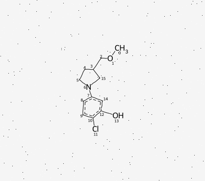 COCC1CCN(c2ccc(Cl)c(O)c2)C1